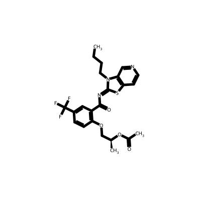 CCCCn1/c(=N/C(=O)c2cc(C(F)(F)F)ccc2OC[C@H](C)OC(C)=O)sc2ccncc21